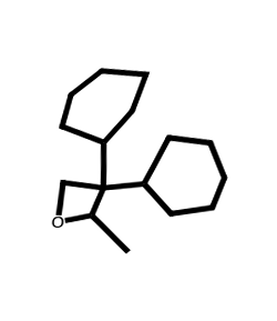 CC1OCC1(C1CCCCC1)C1CCCCC1